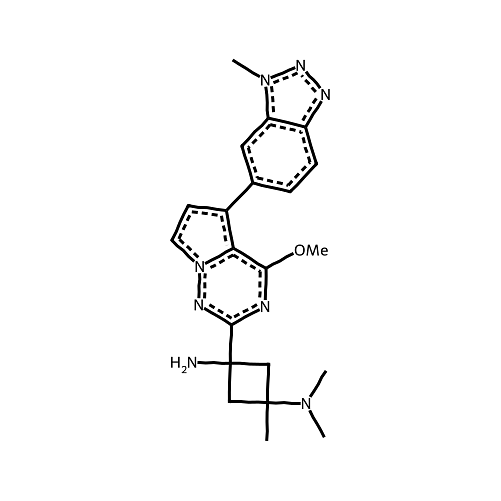 COc1nc(C2(N)CC(C)(N(C)C)C2)nn2ccc(-c3ccc4nnn(C)c4c3)c12